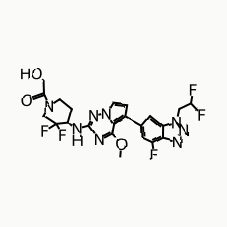 COc1nc(N[C@@H]2CCN(C(=O)CO)CC2(F)F)nn2ccc(-c3cc(F)c4nnn(CC(F)F)c4c3)c12